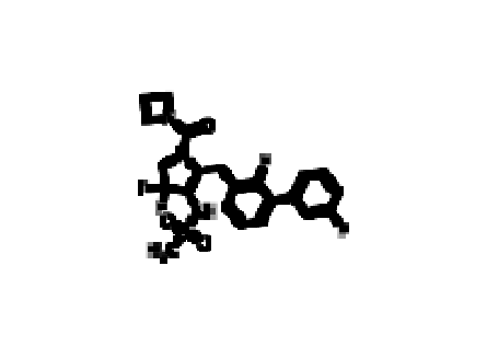 CS(=O)(=O)N[C@@H]1[C@H](Cc2cccc(-c3cccc(F)c3)c2F)N(C(=O)N2CCC2)CC1(F)F